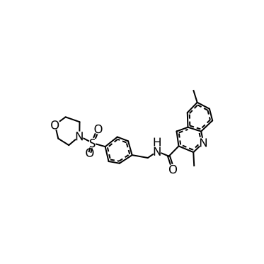 Cc1ccc2nc(C)c(C(=O)NCc3ccc(S(=O)(=O)N4CCOCC4)cc3)cc2c1